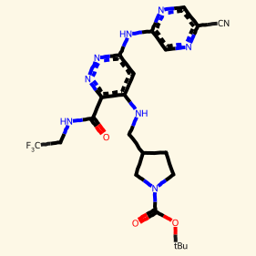 CC(C)(C)OC(=O)N1CCC(CNc2cc(Nc3cnc(C#N)cn3)nnc2C(=O)NCC(F)(F)F)C1